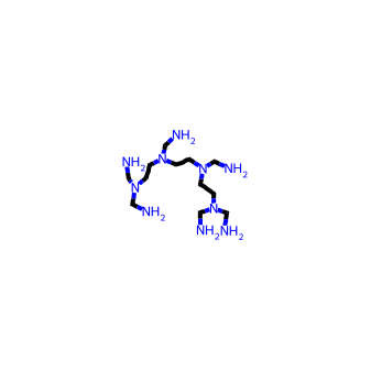 NCN(CN)CCN(CN)CCN(CN)CCN(CN)CN